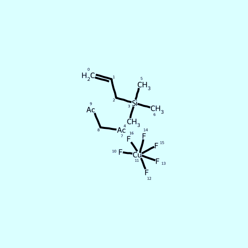 C=CC[Si](C)(C)C.CC(=O)CC(C)=O.[F][Cu]([F])([F])([F])([F])[F]